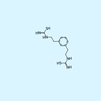 N=C(S)NCCc1cccc(CCNC(=N)S)c1